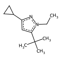 CCn1nc(C2CC2)cc1C(C)(C)C